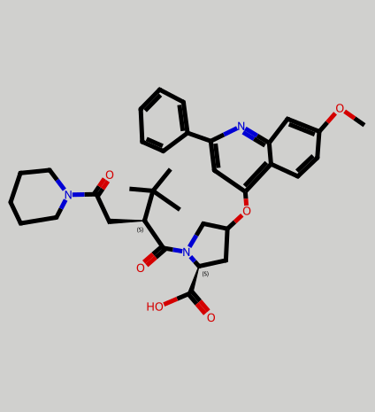 COc1ccc2c(OC3C[C@@H](C(=O)O)N(C(=O)[C@@H](CC(=O)N4CCCCC4)C(C)(C)C)C3)cc(-c3ccccc3)nc2c1